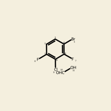 Fc1ccc(Br)c(F)c1Cl.O=CO